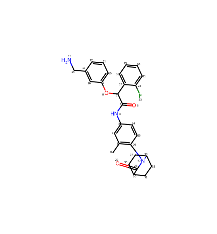 Cc1cc(NC(=O)C(Oc2cccc(CN)c2)c2ccccc2F)ccc1N1C(=O)C2CCC1CC2